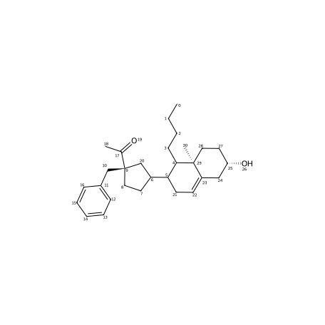 CCCCC1C(C2CC[C@](Cc3ccccc3)(C(C)=O)C2)CC=C2C[C@@H](O)CC[C@@]21C